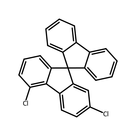 Clc1ccc2c(c1)C1(c3ccccc3-c3ccccc31)c1cccc(Cl)c1-2